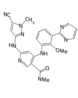 CNC(=O)c1cnc(Nc2cc(C#N)n(C)n2)cc1Nc1cccc(-c2ncccn2)c1OC